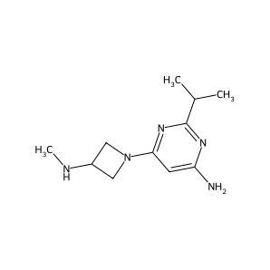 CNC1CN(c2cc(N)nc(C(C)C)n2)C1